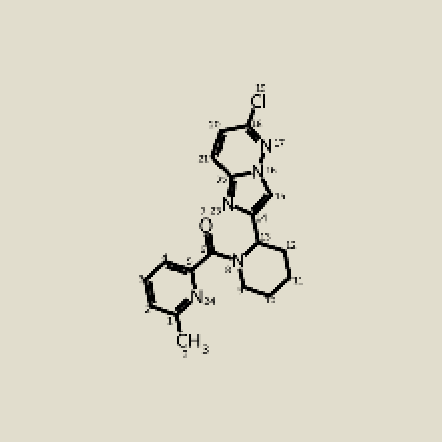 Cc1cccc(C(=O)N2CCCCC2c2cn3nc(Cl)ccc3n2)n1